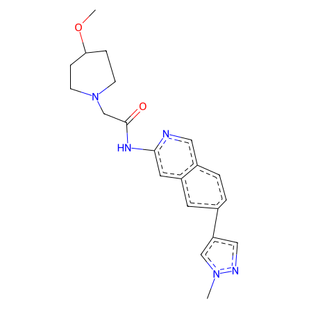 COC1CCN(CC(=O)Nc2cc3cc(-c4cnn(C)c4)ccc3cn2)CC1